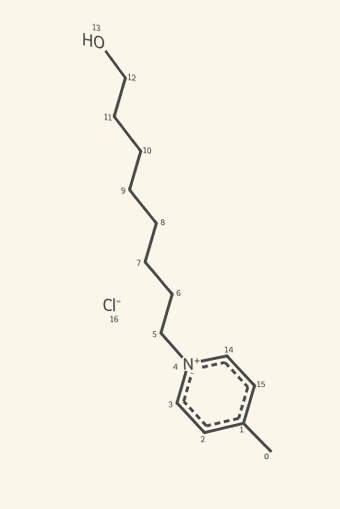 Cc1cc[n+](CCCCCCCCO)cc1.[Cl-]